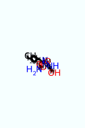 CCc1ccc(C[C@H](OC(N)=O)c2noc(NCCO)n2)cc1